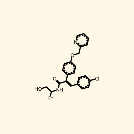 CCC(CO)NC(=O)/C(=C/c1ccc(Cl)cc1)c1ccc(OCc2ccccn2)cc1